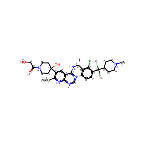 COc1nc2ncnc(N[C@H](C)c3cccc(C(F)(F)C4CCN(C(C)C)CC4)c3F)c2cc1C1(O)CCN(C(=O)CO)CC1